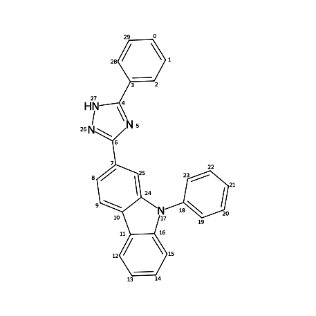 c1ccc(-c2nc(-c3ccc4c5ccccc5n(-c5ccccc5)c4c3)n[nH]2)cc1